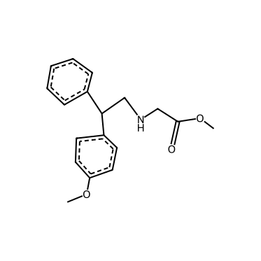 COC(=O)CNCC(c1ccccc1)c1ccc(OC)cc1